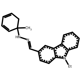 CCn1c2ccccc2c2cc(C=NNC3(C)C=CC=CC3)ccc21